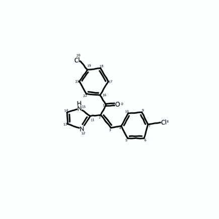 O=C(C(=Cc1ccc(Cl)cc1)c1ncc[nH]1)c1ccc(Cl)cc1